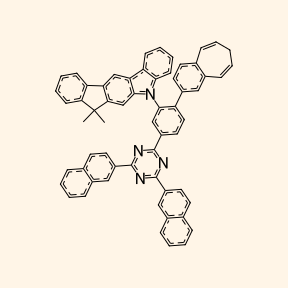 CC1(C)c2ccccc2-c2cc3c4ccccc4n(-c4cc(-c5nc(-c6ccc7ccccc7c6)nc(-c6ccc7ccccc7c6)n5)ccc4-c4ccc5c(c4)C=CCC=C5)c3cc21